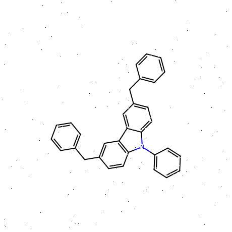 c1ccc(Cc2ccc3c(c2)c2cc(Cc4ccccc4)ccc2n3-c2ccccc2)cc1